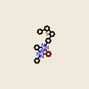 c1ccc(-c2nc(-c3ccccc3)nc(-c3ccccc3-c3nc(-c4ccccc4)nc(-c4ccc(-c5cccc6c5sc5c(-c7ccccc7)cccc56)cc4)n3)n2)cc1